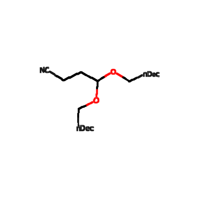 CCCCCCCCCCCOC(CCC#N)OCCCCCCCCCCC